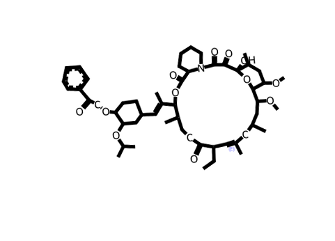 CCC1/C=C(\C)CC(C)CC(OC)C2OC(O)(C(=O)C(=O)N3CCCCC3C(=O)OC(C(C)=CC3CCC(OCC(=O)c4ccccc4)C(OC(C)C)C3)C(C)CCC1=O)C(C)CC2OC